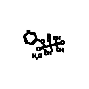 CC(O)(P(=O)(O)O)P(=O)(O)Oc1cccnc1.O